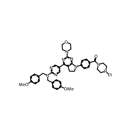 CCN1CCN(C(=O)c2ccc(N3CCc4c(-c5cnc(N(Cc6ccc(OC)cc6)Cc6ccc(OC)cc6)nc5)nc(N5CCOCC5)nc43)cc2)CC1